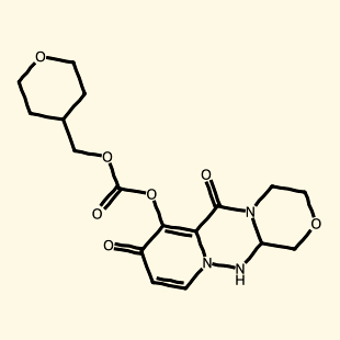 O=C(OCC1CCOCC1)Oc1c2n(ccc1=O)NC1COCCN1C2=O